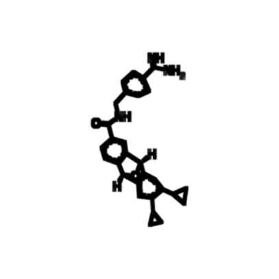 N=C(N)c1ccc(CNC(=O)c2ccc3c(c2)[C@H]2O[C@@H]3c3cc(C4CC4)c(C4CC4)cc32)cc1